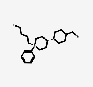 FCCCC[Si@]1(c2ccccc2)CC[C@@H](C2CCC(CBr)CC2)CC1